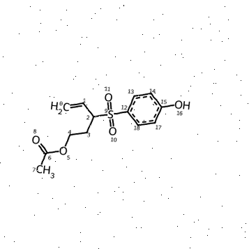 C=CC(CCOC(C)=O)S(=O)(=O)c1ccc(O)cc1